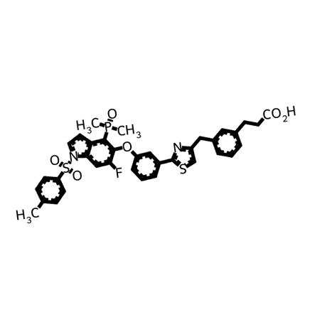 Cc1ccc(S(=O)(=O)n2ccc3c(P(C)(C)=O)c(Oc4cccc(-c5nc(Cc6cccc(CCC(=O)O)c6)cs5)c4)c(F)cc32)cc1